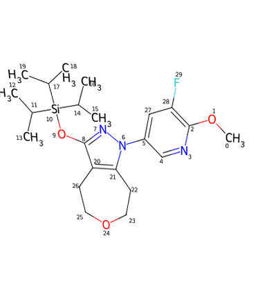 COc1ncc(-n2nc(O[Si](C(C)C)(C(C)C)C(C)C)c3c2CCOCC3)cc1F